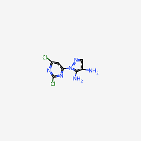 Nc1cnn(-c2cc(Cl)nc(Cl)n2)c1N